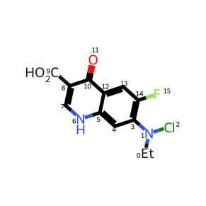 CCN(Cl)c1cc2[nH]cc(C(=O)O)c(=O)c2cc1F